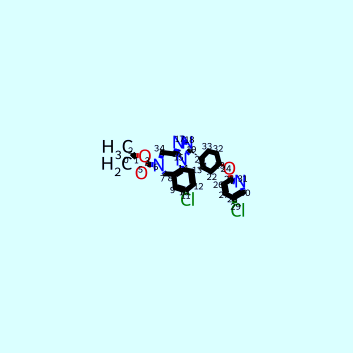 C=C(C)OC(=O)N1Cc2cc(Cl)ccc2-n2c(nnc2[C@H]2CC[C@H](Oc3ccc(Cl)cn3)CC2)C1